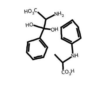 CC(Nc1ccccc1)C(=O)O.NC(C(=O)O)C(O)(O)c1ccccc1